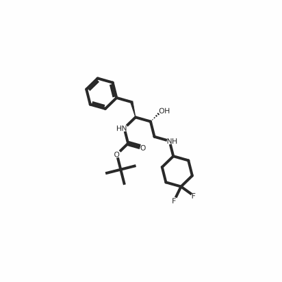 CC(C)(C)OC(=O)N[C@@H](Cc1ccccc1)[C@H](O)CNC1CCC(F)(F)CC1